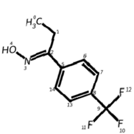 CCC(=NO)c1ccc(C(F)(F)F)cc1